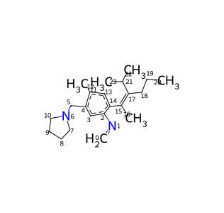 C=Nc1cc(CN2CCCC2)c(C)cc1/C(C)=C(/CCC)C(C)C